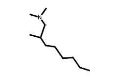 CCCCCCC(C)[CH]N(C)C